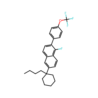 CCCCC1(c2ccc3c(F)c(-c4ccc(OC(F)(F)F)cc4)ccc3c2)CCCCC1